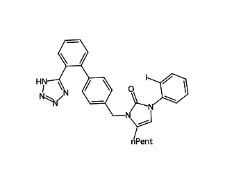 CCCCCc1cn(-c2ccccc2I)c(=O)n1Cc1ccc(-c2ccccc2-c2nnn[nH]2)cc1